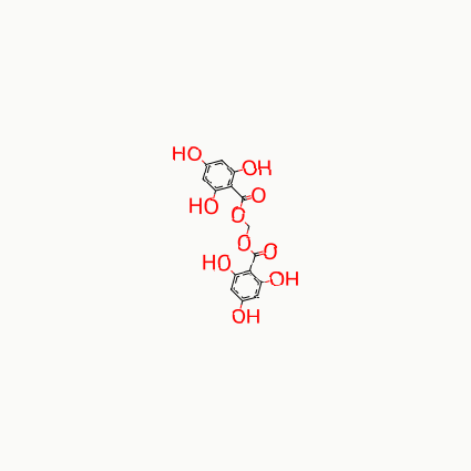 O=C(OCOC(=O)c1c(O)cc(O)cc1O)c1c(O)cc(O)cc1O